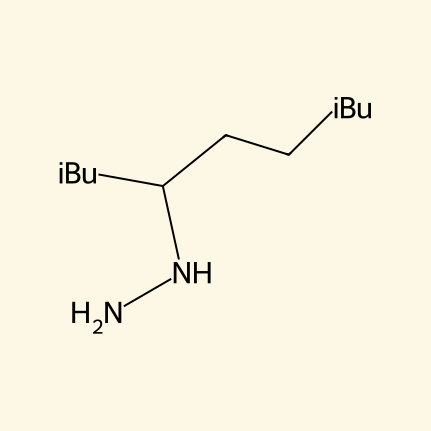 CCC(C)CCC(NN)C(C)CC